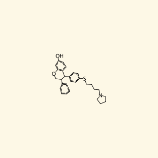 Oc1ccc2c(c1)OC[C@H](c1ccccc1)C2c1ccc(SCCCCN2CCCC2)cc1